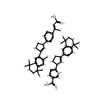 CC(=CC(=O)O)c1ccc(C2C=C(c3cc4c(cc3C)C(C)(C)CCC4(C)C)CC2)cc1.CC1(C)CCC(C)(C)c2cc(C3=CC(c4ccc(C(=O)O)cn4)CC3)ccc21